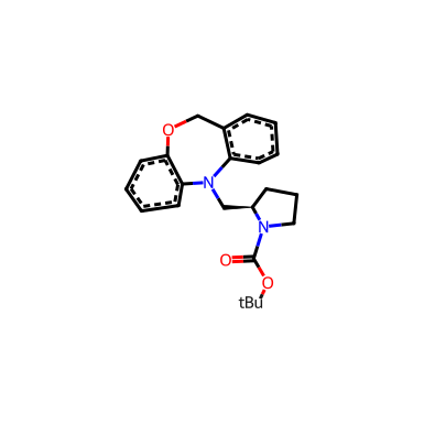 CC(C)(C)OC(=O)N1CCC[C@@H]1CN1c2ccccc2COc2ccccc21